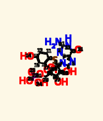 Nc1nc2c(ncn2[C@]2(Sc3ccc(O)cc3O)O[C@H](COP(=O)(O)O)[C@@H](O)[C@H]2O)c(=O)[nH]1